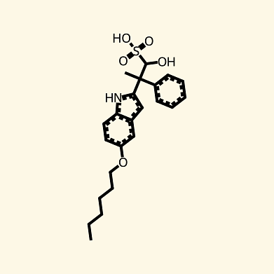 CCCCCCOc1ccc2[nH]c(C(C)(c3ccccc3)C(O)S(=O)(=O)O)cc2c1